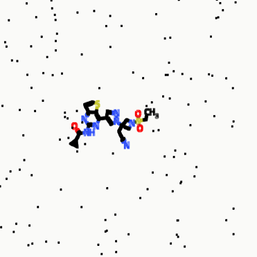 CCS(=O)(=O)N1CC(CC#N)(n2cc(-c3nc(NC(=O)C4CC4)nc4ccsc34)cn2)C1